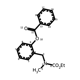 CCOC(=O)N(C)Cc1ccccc1OC(=O)c1ccccc1